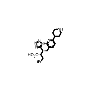 CC(C)C[C@H](C(=O)O)[C@H](Cc1ccc(C2CCNCC2)nc1)c1nnn[nH]1